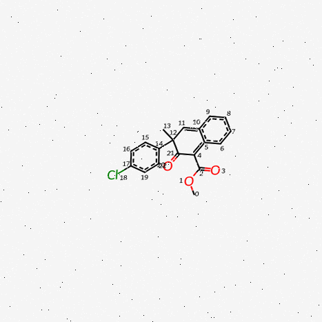 COC(=O)C1=c2ccccc2=CC(C)(c2ccc(Cl)cc2)C1=O